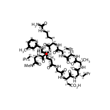 CC[C@H](NC(=O)[C@H](C)NC(=O)[C@H](CC(C)C)NC(=O)[C@H](CC(=O)O)NC(=O)CNC(=O)CCCCNc1cc(C)ccn1)C(=O)N[C@@H](CC(C)C)C(=O)N[C@@H](CCCNC(N)=O)C(=O)NC(C)(C)C(=O)N[C@@H](CC(C)C)C(=O)NC